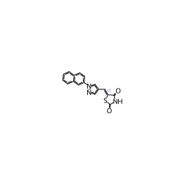 O=C1NC(=O)/C(=C/c2cnn(-c3ccc4ccccc4c3)c2)S1